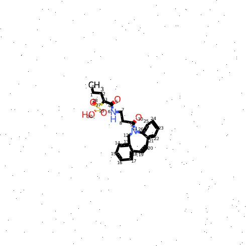 CCCC(C(=O)NCCC(=O)N1Cc2ccccc2C#Cc2ccccc21)S(=O)(=O)O